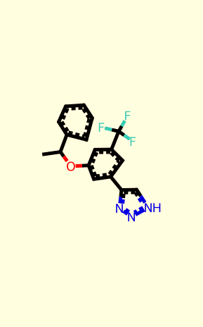 CC(Oc1cc(-c2c[nH]nn2)cc(C(F)(F)F)c1)c1ccccc1